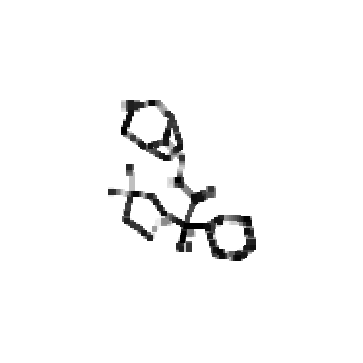 O=C(NCC1C2CCC1CNC2)[C@](O)(c1ccccc1)[C@@H]1CCC(F)(F)C1